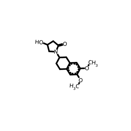 COc1cc2c(cc1OC)CC(N1CC(O)CC1=O)CC2